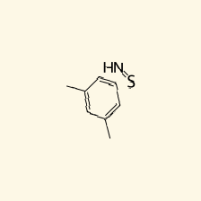 Cc1cccc(C)c1.N=S